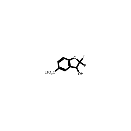 CCOC(=O)c1ccc2c(c1)C(O)C(F)(F)O2